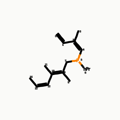 C=C/C(C)=C\P(CCC)C/C(C)=C(C)/C=C\C